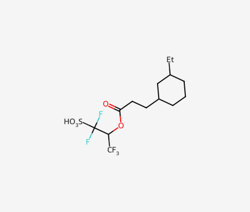 CCC1CCCC(CCC(=O)OC(C(F)(F)F)C(F)(F)S(=O)(=O)O)C1